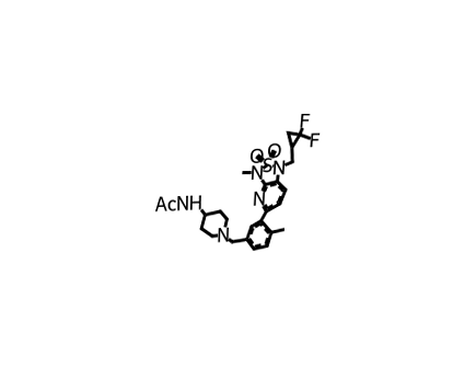 CC(=O)NC1CCN(Cc2ccc(C)c(-c3ccc4c(n3)N(C)S(=O)(=O)N4CC3CC3(F)F)c2)CC1